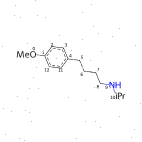 COc1ccc(CCCCNC(C)C)cc1